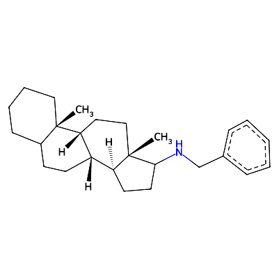 C[C@]12CCCCC1CC[C@@H]1[C@H]2CC[C@]2(C)C(NCc3ccccc3)CC[C@@H]12